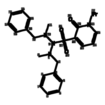 CB(Cc1ccccc1)N(B(C)Cc1ccccc1)S(=O)(=O)c1cccn(C(C)C)c1=O